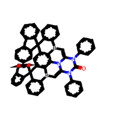 O=C1N(c2ccccc2)C2=CB3c4ccccc4C4(c5ccccc5-c5ccccc54)c4cc5c6c(c43)N2C(=CB6c2ccccc2C52c3ccccc3-c3ccccc32)N1c1ccccc1